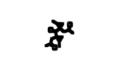 CC(=O)CC1(C(=O)C2(CC(C)=O)CC2C)CC1C